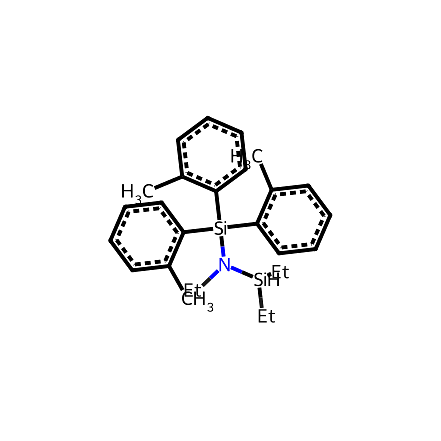 CCN([SiH](CC)CC)[Si](c1ccccc1C)(c1ccccc1C)c1ccccc1C